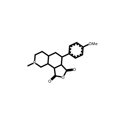 COc1ccc(C2CC3CCN(C)CC3C3C(=O)OC(=O)C23)cc1